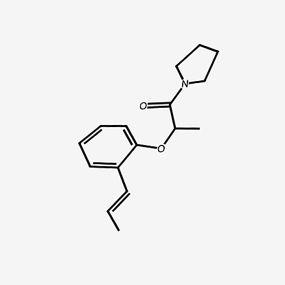 CC=Cc1ccccc1OC(C)C(=O)N1CCCC1